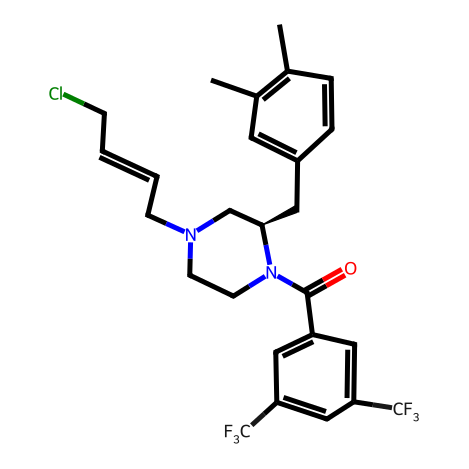 Cc1ccc(C[C@@H]2CN(CC=CCCl)CCN2C(=O)c2cc(C(F)(F)F)cc(C(F)(F)F)c2)cc1C